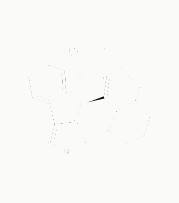 NS(=O)(=O)c1ccc2c(c1[C@@H]1c3ccccc3-c3cncn31)CCCC2